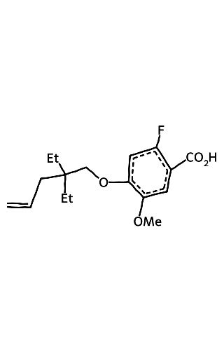 C=CCC(CC)(CC)COc1cc(F)c(C(=O)O)cc1OC